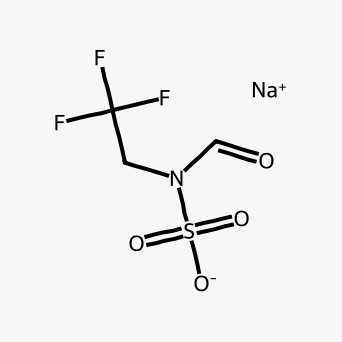 O=CN(CC(F)(F)F)S(=O)(=O)[O-].[Na+]